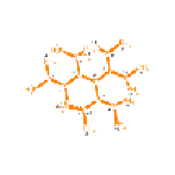 PPP(P(P)P)P(P(P)P)P(P(P(P)P)P(P)P)P(P(P)P)P(P)P